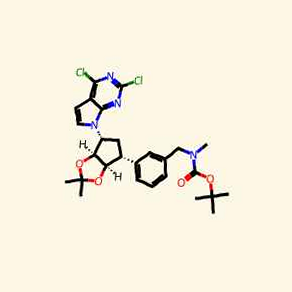 CN(Cc1cccc([C@H]2C[C@@H](n3ccc4c(Cl)nc(Cl)nc43)[C@@H]3OC(C)(C)O[C@@H]32)c1)C(=O)OC(C)(C)C